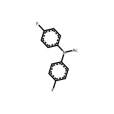 CC(=O)N(c1ccc(F)cc1)c1ccc(F)cc1